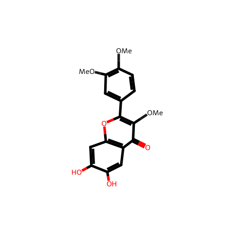 COc1ccc(-c2oc3cc(O)c(O)cc3c(=O)c2OC)cc1OC